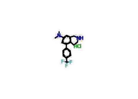 CN(C)c1cc2c(c(-c3ccc(C(F)(F)F)cc3)c1)CCNC2.Cl